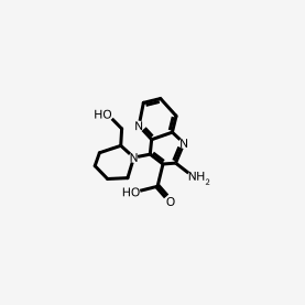 Nc1nc2cccnc2c(N2CCCCC2CO)c1C(=O)O